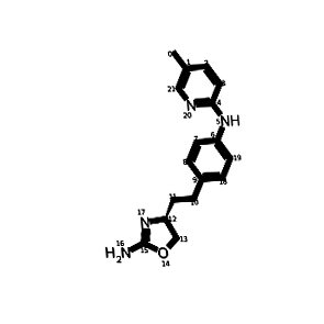 Cc1ccc(Nc2ccc(CC[C@H]3COC(N)=N3)cc2)nc1